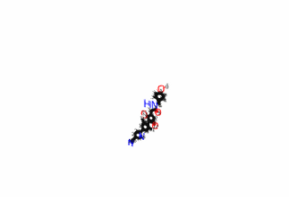 COc1ccc(CNC(=O)CC2CC(=O)C(c3c(C)cc(-c4ccc(C#N)cn4)cc3C)C2=O)cc1